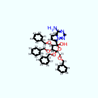 Nc1ncnn2c(C3(O)O[C@@](COCc4ccccc4)(OCc4ccccc4)[C@@H](OCc4ccccc4)[C@H]3OCc3ccccc3)ccc12